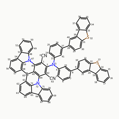 N#Cc1c(N(c2cccc(-c3ccc4sc5ccccc5c4c3)c2)c2cccc(-c3ccc4sc5ccccc5c4c3)c2)c(C#N)c2c3c1-n1c4ccccc4c4cccc(c41)B3c1cccc3c4ccccc4n-2c13